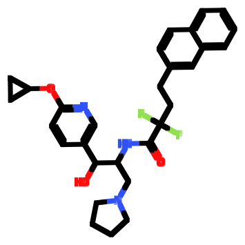 O=C(NC(CN1CCCC1)C(O)c1ccc(OC2CC2)nc1)C(F)(F)CCc1ccc2ccccc2c1